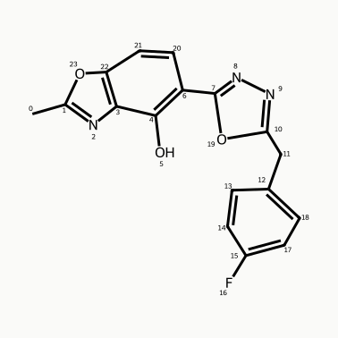 Cc1nc2c(O)c(-c3nnc(Cc4ccc(F)cc4)o3)ccc2o1